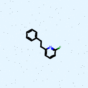 Fc1cccc(CCc2ccccc2)n1